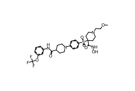 COCCN1CCC(C(=O)NO)(S(=O)(=O)c2ccc(N3CCC(C(=O)Nc4cccc(OC(F)(F)F)c4)CC3)cc2)CC1